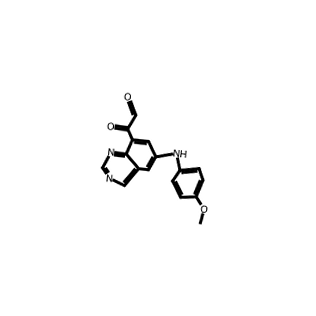 COc1ccc(Nc2cc(C(=O)C=O)c3ncncc3c2)cc1